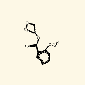 O=C(O)c1ccccc1C(=O)OC1COO1